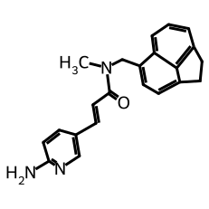 CN(Cc1ccc2c3c(cccc13)CC2)C(=O)/C=C/c1ccc(N)nc1